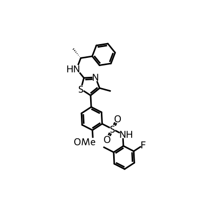 COc1ccc(-c2sc(N[C@H](C)c3ccccc3)nc2C)cc1S(=O)(=O)Nc1c(C)cccc1F